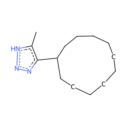 Cc1[nH]nnc1C1CCCCCCCCCC1